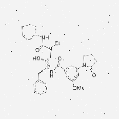 CCN(C[C@H](O)[C@H](Cc1ccccc1)NC(=O)c1cc(OC)cc(N2CCCC2=O)c1)C(=O)NC1CCCCC1